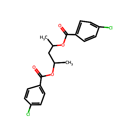 CC(CC(C)OC(=O)c1ccc(Cl)cc1)OC(=O)c1ccc(Cl)cc1